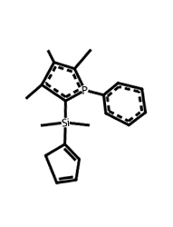 Cc1c(C)c([Si](C)(C)C2=CC=CC2)p(-c2ccccc2)c1C